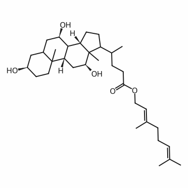 CC(C)=CCC/C(C)=C/COC(=O)CCC(C)C1CC[C@H]2C3[C@H](O)CC4C[C@H](O)CCC4(C)[C@H]3C[C@H](O)C12C